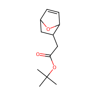 CC(C)(C)OC(=O)CC1CC2C=CC1O2